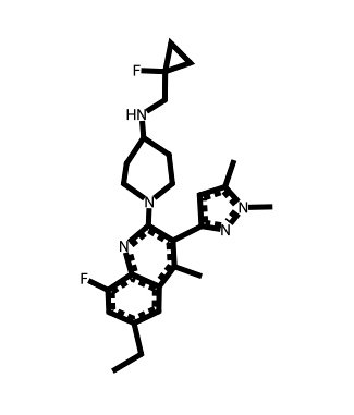 CCc1cc(F)c2nc(N3CCC(NCC4(F)CC4)CC3)c(-c3cc(C)n(C)n3)c(C)c2c1